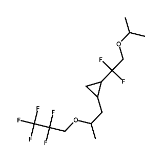 CC(C)OCC(F)(F)C1CC1CC(C)OCC(F)(F)C(F)(F)F